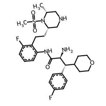 C[C@@H]1CNC[C@H](CCc2c(F)cccc2NC(=O)[C@@H](N)[C@@H](c2ccc(F)cc2)C2CCOCC2)N1S(C)(=O)=O